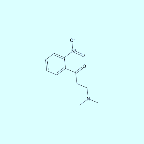 CN(C)CCC(=O)c1ccccc1[N+](=O)[O-]